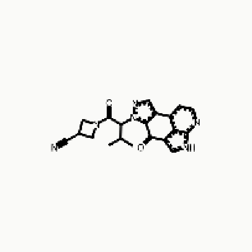 CC(C)C(C(=O)N1CC(C#N)C1)n1ncc2c1C(=O)c1c[nH]c3nccc-2c13